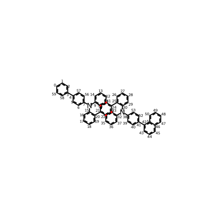 c1ccc(-c2ccc(N(c3ccccc3)c3ccccc3-c3ccc(-c4ccccc4N(c4ccccc4)c4ccc(-c5cccc6ccccc56)cc4)cc3)cc2)cc1